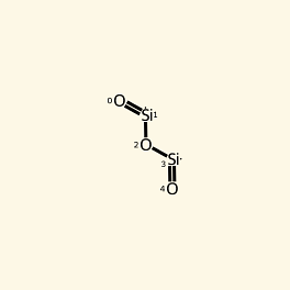 O=[Si]O[Si]=O